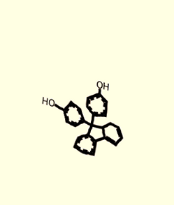 Oc1ccc(C2(c3ccc(O)cc3)c3ccccc3C3=CC=CCC32)cc1